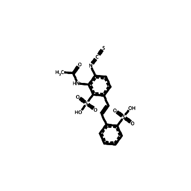 CC(=O)Nc1c(N=C=S)ccc(C=Cc2ccccc2S(=O)(=O)O)c1S(=O)(=O)O